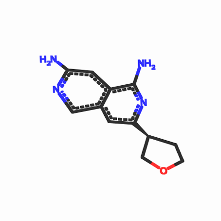 Nc1cc2c(N)nc([C@H]3CCOC3)cc2cn1